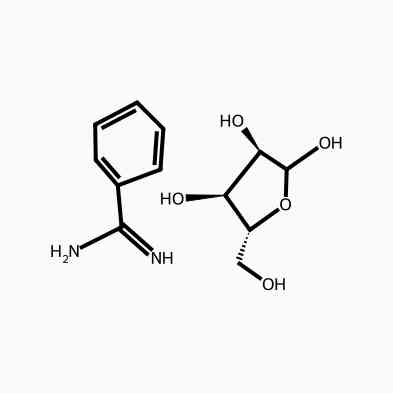 N=C(N)c1ccccc1.OC[C@H]1OC(O)[C@H](O)[C@@H]1O